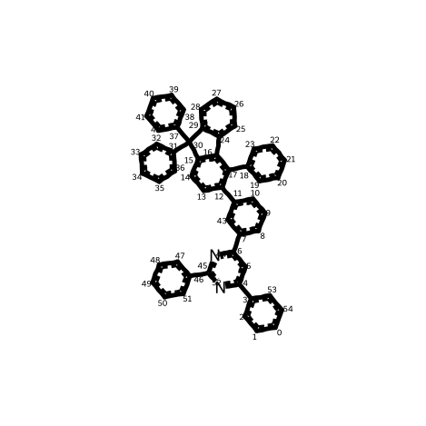 c1ccc(-c2cc(-c3cccc(-c4ccc5c(c4-c4ccccc4)-c4ccccc4C5(c4ccccc4)c4ccccc4)c3)nc(-c3ccccc3)n2)cc1